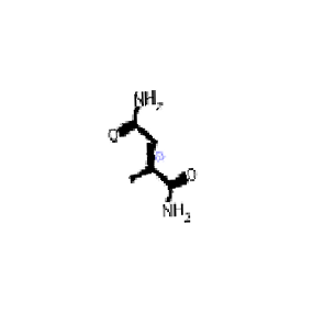 C/C(=C\C(N)=O)C(N)=O